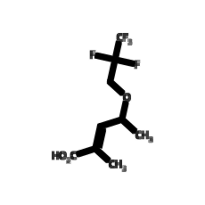 CC(=CC(C)OCC(F)(F)C(F)(F)F)C(=O)O